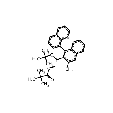 Cc1cc2ccccc2c(-c2cccc3cccnc23)c1[C@H](COC(=O)C(C)(C)C)OC(C)(C)C